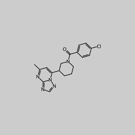 Cc1cc(C2CCCN(C(=O)c3ccc(Cl)cc3)C2)n2ncnc2n1